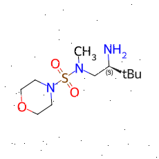 CN(C[C@@H](N)C(C)(C)C)S(=O)(=O)N1CCOCC1